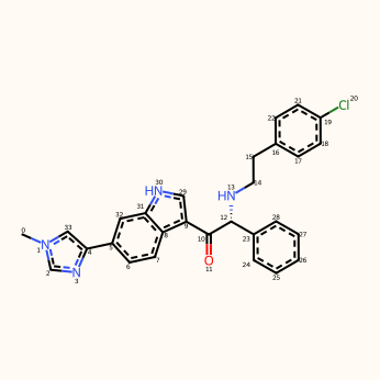 Cn1cnc(-c2ccc3c(C(=O)[C@H](NCCc4ccc(Cl)cc4)c4ccccc4)c[nH]c3c2)c1